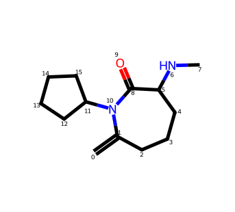 C=C1CCCC(NC)C(=O)N1C1CCCC1